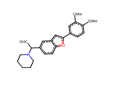 COc1ccc(-c2cc3cc(C(C=O)N4CCCCC4)ccc3o2)cc1OC